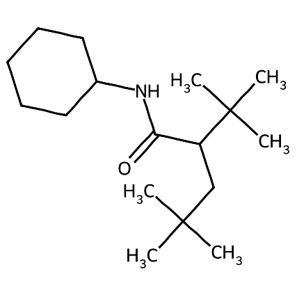 CC(C)(C)CC(C(=O)NC1CCCCC1)C(C)(C)C